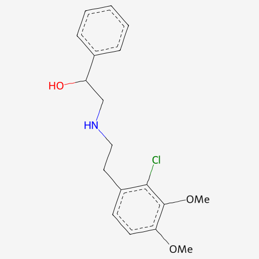 COc1ccc(CCNCC(O)c2ccccc2)c(Cl)c1OC